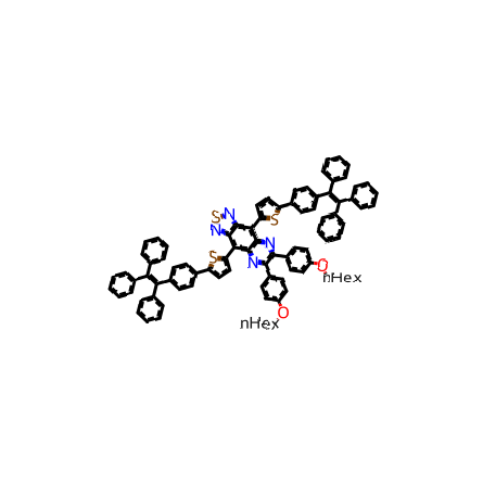 CCCCCCOc1ccc(-c2nc3c(-c4ccc(-c5ccc(C(=C(c6ccccc6)c6ccccc6)c6ccccc6)cc5)s4)c4nsnc4c(-c4ccc(-c5ccc(C(=C(c6ccccc6)c6ccccc6)c6ccccc6)cc5)s4)c3nc2-c2ccc(OCCCCCC)cc2)cc1